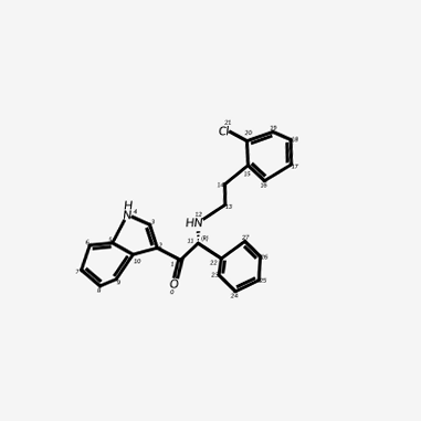 O=C(c1c[nH]c2ccccc12)[C@H](NCCc1ccccc1Cl)c1ccccc1